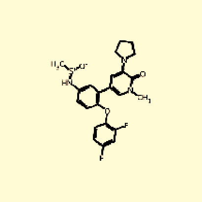 Cn1cc(-c2cc(N[S+](C)[O-])ccc2Oc2ccc(F)cc2F)cc(N2CCCC2)c1=O